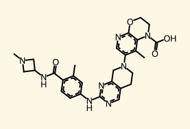 Cc1cc(Nc2ncc3c(n2)CN(c2cnc4c(c2C)N(C(=O)O)CCO4)CC3)ccc1C(=O)NC1CN(C)C1